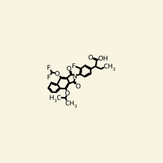 CCC(C(=O)O)c1ccc(N2C(=O)c3c(c(OC(F)F)c4ccccc4c3OC(C)C)C2=O)c(F)c1